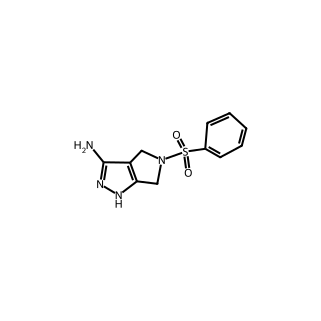 Nc1n[nH]c2c1CN(S(=O)(=O)c1ccccc1)C2